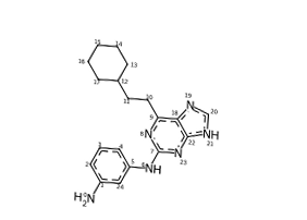 Nc1cccc(Nc2nc(CCC3CCCCC3)c3nc[nH]c3n2)c1